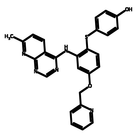 Cc1ccc2c(Nc3cc(OCc4ccccn4)ccc3Sc3ccc(O)cc3)ncnc2n1